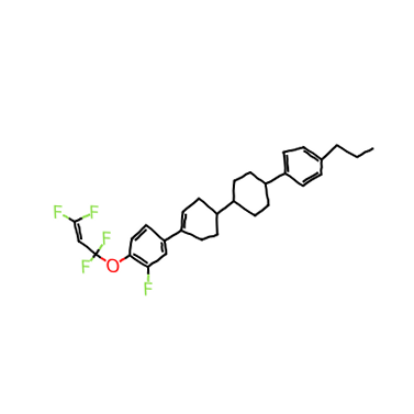 CCCc1ccc(C2CCC(C3CC=C(c4ccc(OC(F)(F)C=C(F)F)c(F)c4)CC3)CC2)cc1